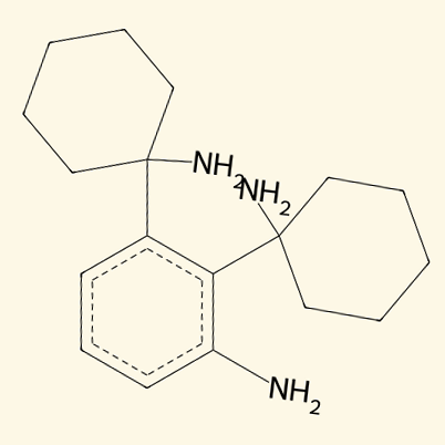 Nc1cccc(C2(N)CCCCC2)c1C1(N)CCCCC1